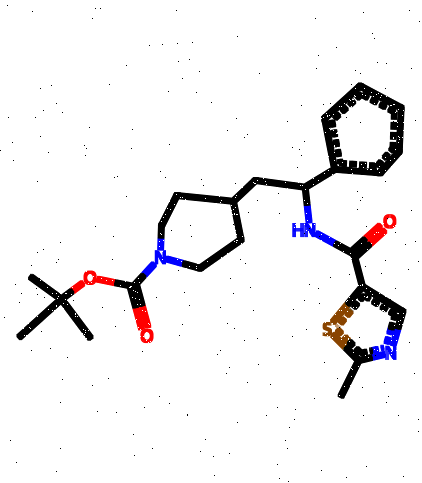 Cc1ncc(C(=O)NC(CC2CCN(C(=O)OC(C)(C)C)CC2)c2ccccc2)s1